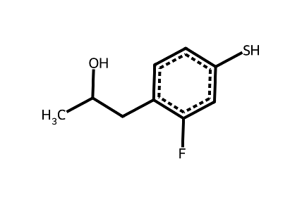 CC(O)Cc1ccc(S)cc1F